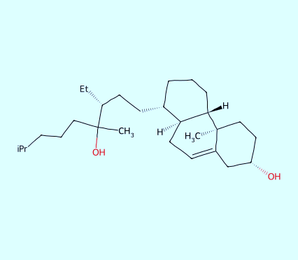 CC[C@H](CC[C@@H]1CCC[C@H]2[C@H]1CC=C1C[C@@H](O)CC[C@@]12C)C(C)(O)CCCC(C)C